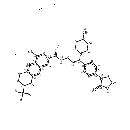 CC(C)(C)[C@H]1CCc2nc3c(Cl)cc(C(=O)NCC[C@H](c4ccc(N5CCOC5=O)cc4)N4CCC(O)CC4)cc3cc2C1